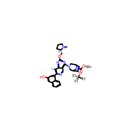 CC[Si](CC)(CC)OC1CC2CN(c3nc(OC[C@@H]4CCCN4C)nc4c(F)c(-c5cc(O)cc6ccccc56)ncc34)CC1N2C(=O)OC(C)(C)C